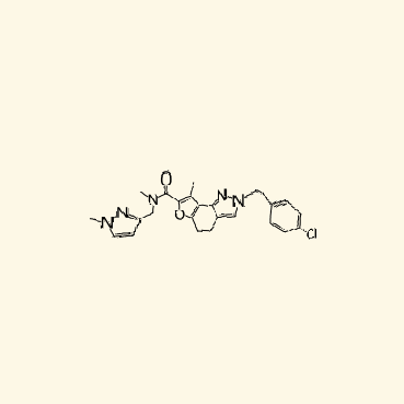 Cc1c(C(=O)N(C)Cc2ccn(C)n2)oc2c1-c1nn(Cc3ccc(Cl)cc3)cc1CC2